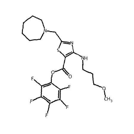 COCCCNc1nc(CN2CCCCCC2)sc1C(=O)Oc1c(F)c(F)c(F)c(F)c1F